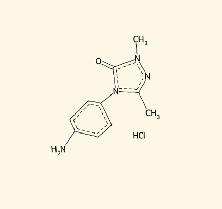 Cc1nn(C)c(=O)n1-c1ccc(N)cc1.Cl